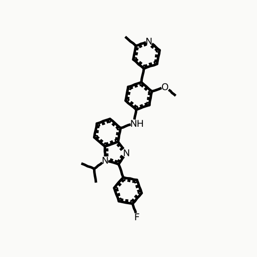 COc1cc(Nc2cccc3c2nc(-c2ccc(F)cc2)n3C(C)C)ccc1-c1ccnc(C)c1